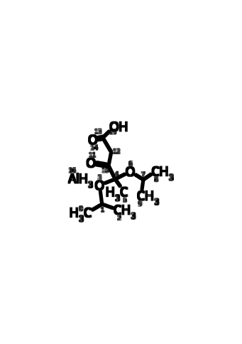 CC(C)OC(C)(OC(C)C)C(=O)CC(=O)O.[AlH3]